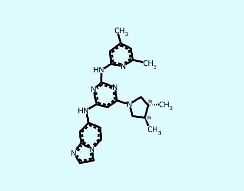 Cc1cc(C)nc(Nc2nc(Nc3ccn4ccnc4c3)cc(N3C[C@H](C)[C@@H](C)C3)n2)c1